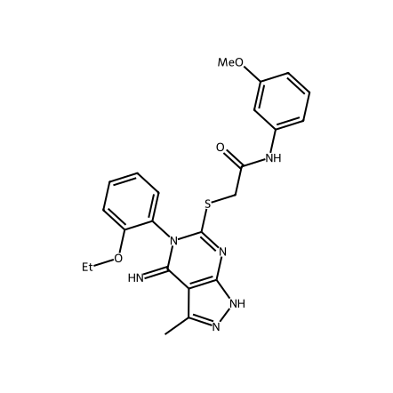 CCOc1ccccc1-n1c(SCC(=O)Nc2cccc(OC)c2)nc2[nH]nc(C)c2c1=N